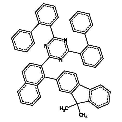 CC1(C)c2ccccc2-c2ccc(-c3c(-c4nc(-c5ccccc5-c5ccccc5)nc(-c5ccccc5-c5ccccc5)n4)ccc4ccccc34)cc21